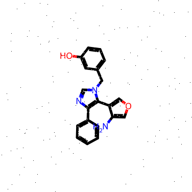 Nc1cocc1-c1c(-c2ccccc2)ncn1Cc1cccc(O)c1